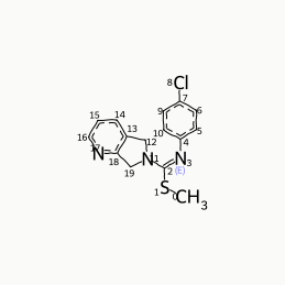 CS/C(=N/c1ccc(Cl)cc1)N1Cc2cccnc2C1